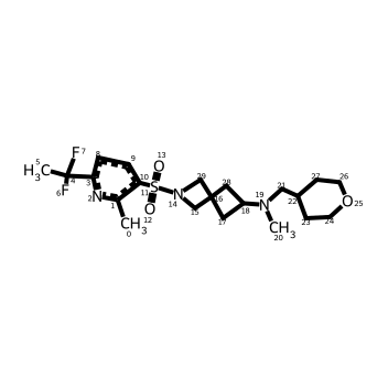 Cc1nc(C(C)(F)F)ccc1S(=O)(=O)N1CC2(CC(N(C)CC3CCOCC3)C2)C1